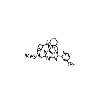 CSNCc1nc(N[C@H](C)C2CCC2)c2c(n1)nc(-c1cc(C(C)C)ccn1)n2CC1CCCCC1